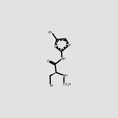 CC(C)C[C@H](NC(=O)O)C(=O)Nc1ncc(C(C)C)s1